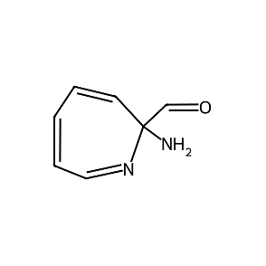 NC1(C=O)C=CC=CC=N1